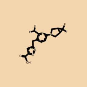 O=C(O)c1cc(Cc2ccc(N3CC4C(C3)C4(F)F)nc2C(F)F)no1